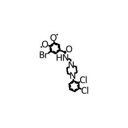 COc1cc(C(=O)NCN2CCN(c3cccc(Cl)c3Cl)CC2)cc(Br)c1OC